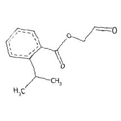 CC(C)c1ccccc1C(=O)OCC=O